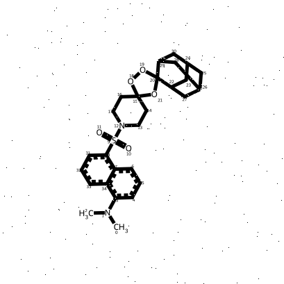 CN(C)c1cccc2c(S(=O)(=O)N3CCC4(CC3)OOC3(O4)C4CC5CC(C4)CC3C5)cccc12